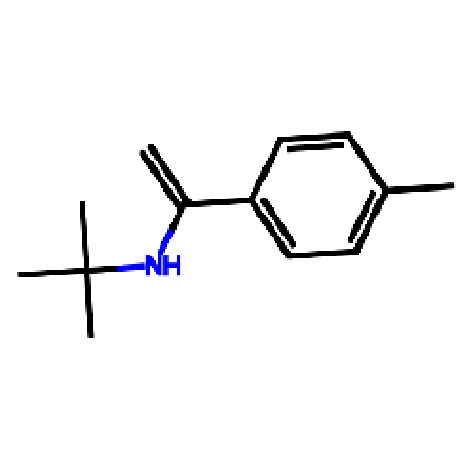 C=C(NC(C)(C)C)c1ccc(C)cc1